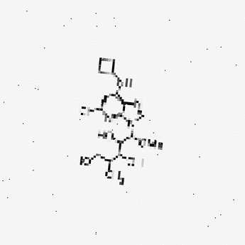 COC(C(O)C(O)C(C)CO)n1cnc2c(NC3CCC3)cc(Cl)nc21